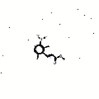 COC(=O)/C=C/c1c(C)ccc([N+](=O)[O-])c1C